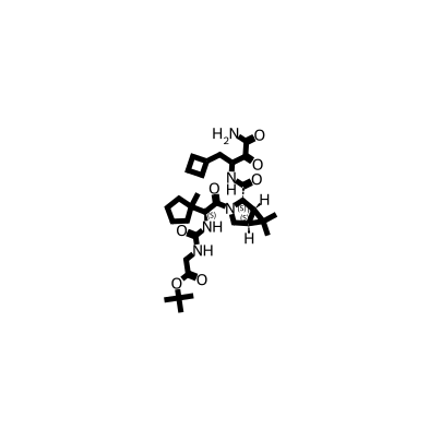 CC(C)(C)OC(=O)CNC(=O)N[C@H](C(=O)N1C[C@H]2[C@@H]([C@H]1C(=O)NC(CC1CCC1)C(=O)C(N)=O)C2(C)C)C1(C)CCCC1